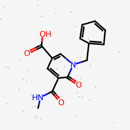 CNC(=O)c1cc(C(=O)O)cn(Cc2ccccc2)c1=O